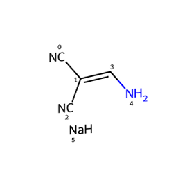 N#CC(C#N)=CN.[NaH]